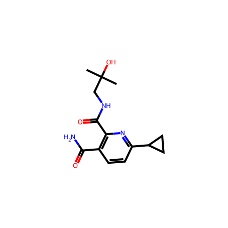 CC(C)(O)CNC(=O)c1nc(C2CC2)ccc1C(N)=O